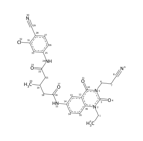 CCn1c(=O)n(CCC#N)c(=O)c2cc(NC(=O)CC(C)CC(=O)Nc3ccc(C#N)c(Cl)c3)ccc21